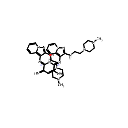 CN1CCN(CCNc2nn3ccccc3c2/N=C2\N/C(=N\c3c(NCCN4CCN(C)CC4)nn4ccccc34)C(N)=CC2=N)CC1